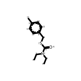 CCN(CC)C(=O)SCc1ccc(C)cc1